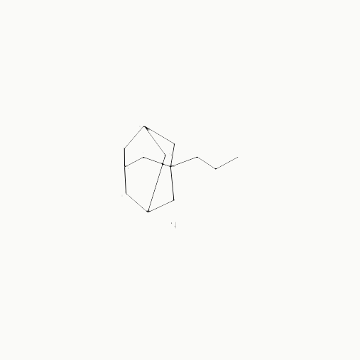 CCCC12CC3CC(CC(C3)C1)C2.N